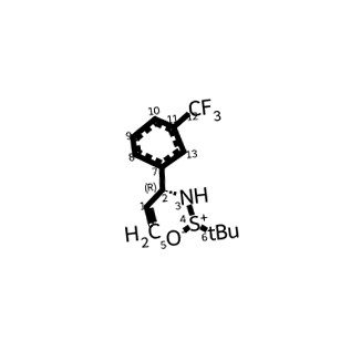 C=C[C@@H](N[S+]([O-])C(C)(C)C)c1cccc(C(F)(F)F)c1